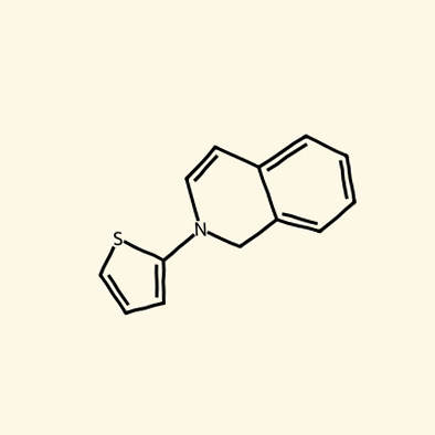 C1=CN(c2cccs2)Cc2ccccc21